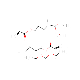 C=CC(=O)OCCC[SiH2]C(OC)OC.C=CC(=O)OCCC[SiH3].CCO[CH]OCC